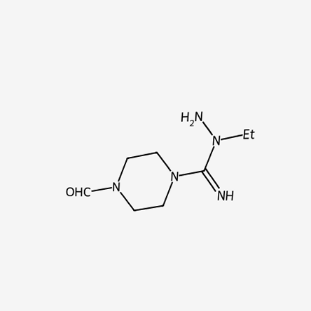 CCN(N)C(=N)N1CCN(C=O)CC1